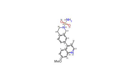 COc1ccc2c(-c3ccc4c(c3)CN(S(N)(=O)=O)CC4)c(C)cnc2c1